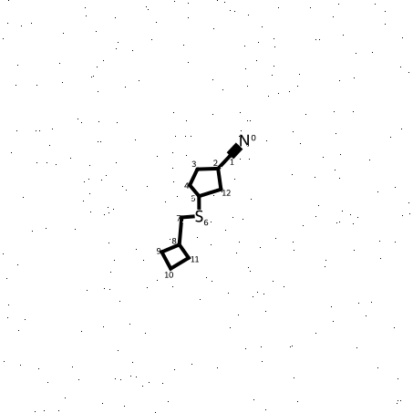 N#CC1CCC(SCC2CCC2)C1